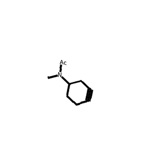 CC(=O)N(C)C1CC#CCC1